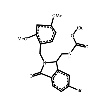 COc1ccc(CN2C(=O)c3ccc(Br)cc3C2CNC(=O)OC(C)(C)C)c(OC)c1